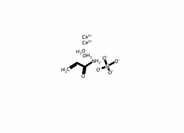 C=CC(N)=O.O.O.[Ca+2].[Ca+2].[O-][Si]([O-])([O-])[O-]